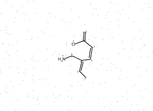 C=C(Cl)/C=C\C(=C/C)CN